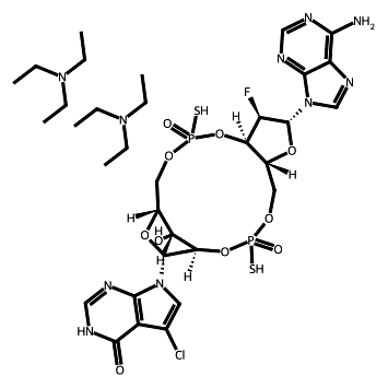 CCN(CC)CC.CCN(CC)CC.Nc1ncnc2c1ncn2[C@@H]1O[C@@H]2COP(=O)(S)O[C@@H]3[C@H](O)[C@@H](COP(=O)(S)O[C@H]2[C@H]1F)O[C@H]3n1cc(Cl)c2c(=O)[nH]cnc21